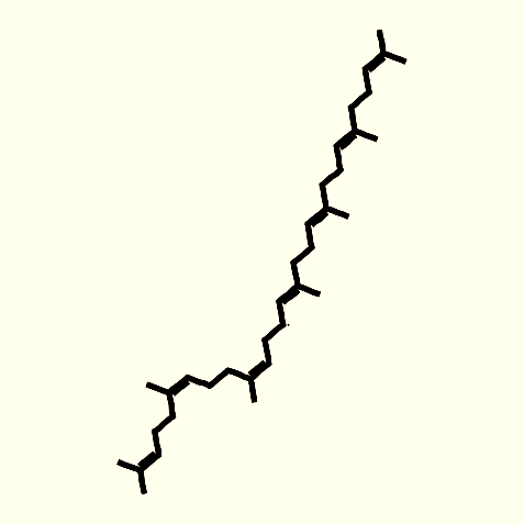 CC(C)=CCCC(C)=CCCC(C)=CC[CH]/C=C(\C)CC/C=C(\C)CC/C=C(\C)CCC=C(C)C